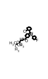 CC(C)(C)OC(=O)CCNC(=O)c1ccc2c(-c3ccccc3Cl)nn(-c3ccc(F)cc3)c2c1